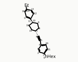 CCCCCCc1ccc(C#C[C@H]2CC[C@H](c3ccc(CC)cc3)CC2)cc1